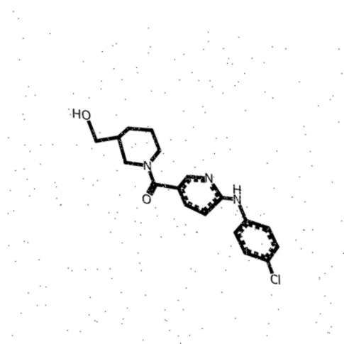 O=C(c1ccc(Nc2ccc(Cl)cc2)nc1)N1CCCC(CO)C1